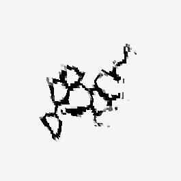 CCOC(=O)OC1=C(C)NC(C)=C(C#N)C1c1ccnc2ncc(-c3ccccc3)cc12